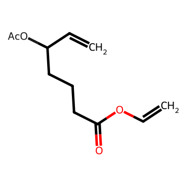 C=COC(=O)CCCC(C=C)OC(C)=O